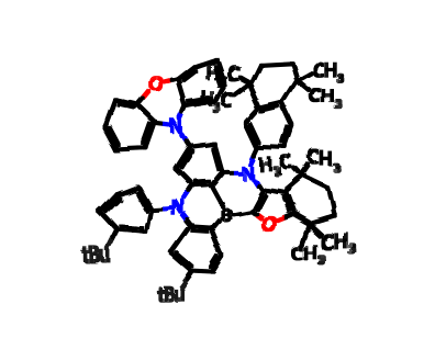 CC(C)(C)c1cccc(N2c3cc(C(C)(C)C)ccc3B3c4oc5c(c4N(c4ccc6c(c4)C(C)(C)CCC6(C)C)c4cc(N6c7ccccc7Oc7ccccc76)cc2c43)C(C)(C)CCC5(C)C)c1